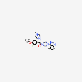 C[C@@H]1CCc2ncnc(N3CCN(C(=O)[C@@H](CN4CCN(C)CC4)c4ccc(OC(F)(F)F)c(F)c4)CC3)c21